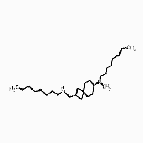 CCCCCCCCNC[C@H]1CC2(CC[C@H](N(C)CCCCCCCC)CC2)C1